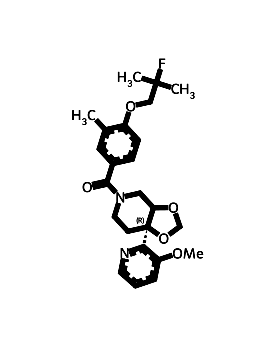 COc1cccnc1[C@]12CCN(C(=O)c3ccc(OCC(C)(C)F)c(C)c3)CC1OCO2